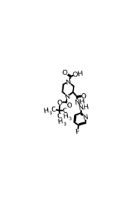 CC(C)(C)OC(=O)N1CCN(C(=O)O)CC1C(=O)NNc1ccc(F)cn1